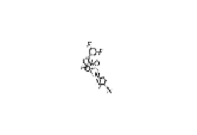 Cc1nc(N2CCC3(CC2)O[C@@H]2CC[C@@H](c4cc(F)cc(F)c4)N2C3=O)ccc1C#N